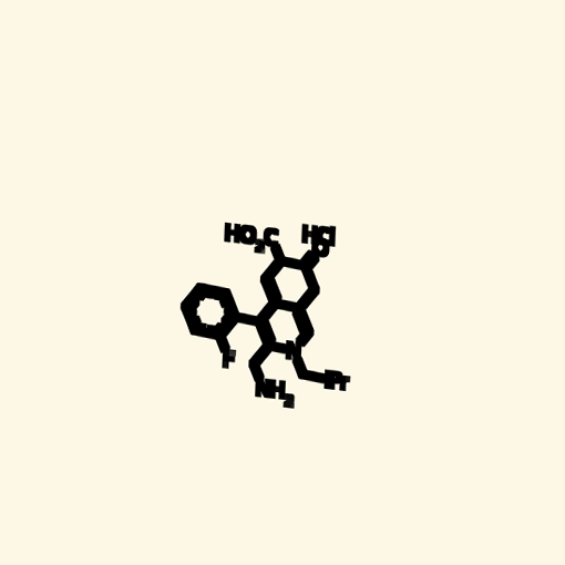 CC(C)CN1C=C2CC(=O)C(C(=O)O)C=C2C(c2ccccc2F)=C1CN.Cl